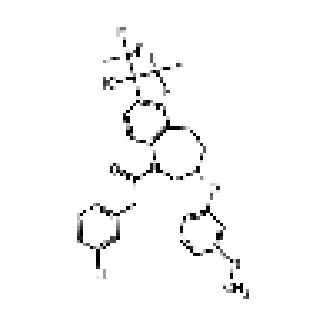 COc1cccc(O[C@H]2CCc3cc(C(O)(C(F)(F)F)C(F)(F)F)ccc3N(C(=O)Cc3cccc(Cl)c3)C2)c1